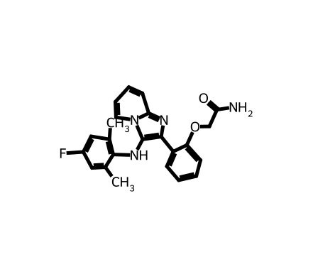 Cc1cc(F)cc(C)c1Nc1c(-c2ccccc2OCC(N)=O)nc2ccccn12